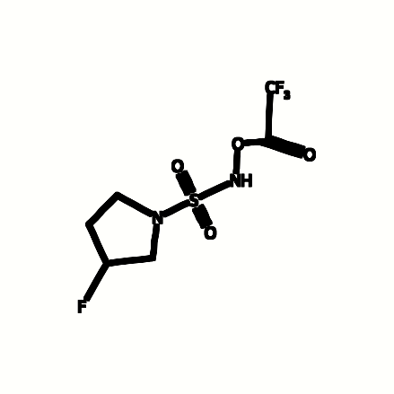 O=C(ONS(=O)(=O)N1CCC(F)C1)C(F)(F)F